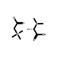 C[C@@H](C(=O)O)N(C)C.C[N+](C)(C)CC(=O)[O-]